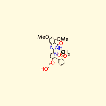 COc1cc(OC)c2c(=O)[nH]c(-c3ccc(OCCO)c(-c4ccccc4S(C)(=O)=O)n3)nc2c1